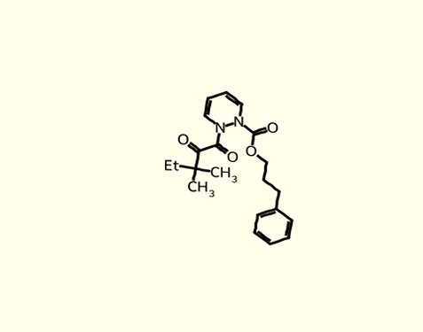 CCC(C)(C)C(=O)C(=O)N1C=CC=CN1C(=O)OCCCc1ccccc1